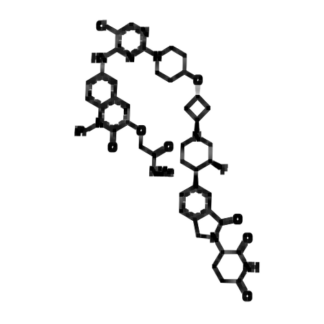 CNC(=O)COc1cc2cc(Nc3nc(N4CCC(O[C@H]5C[C@H](N6CC[C@H](c7ccc8c(c7)C(=O)N(C7CCC(=O)NC7=O)C8)[C@H](F)C6)C5)CC4)ncc3Cl)ccc2n(C(C)C)c1=O